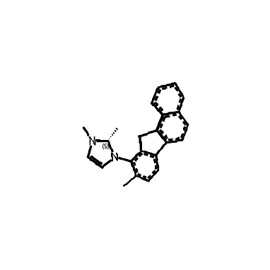 Cc1ccc2c(c1N1C=CN(C)[C@@H]1C)Cc1c-2ccc2ccccc12